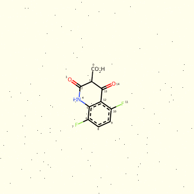 O=C(O)C1C(=O)Nc2c(F)ccc(F)c2C1=O